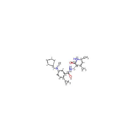 CCN(CC1CCCC1)c1ccc(C)c(C(=O)NCc2c(C)cc(C)[nH]c2=O)c1